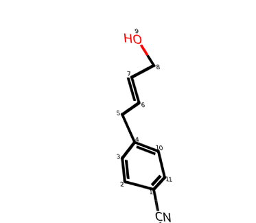 N#Cc1ccc(C/C=C/CO)cc1